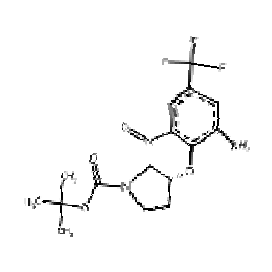 CC(C)(C)OC(=O)N1CC[C@@H](Oc2c(N)cc(C(F)(F)F)cc2N=O)C1